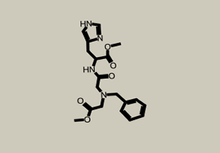 COC(=O)CN(CC(=O)NC(Cc1c[nH]cn1)C(=O)OC)Cc1ccccc1